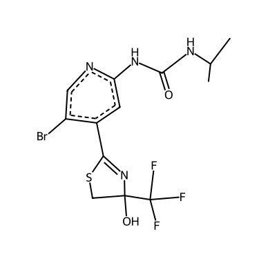 CC(C)NC(=O)Nc1cc(C2=NC(O)(C(F)(F)F)CS2)c(Br)cn1